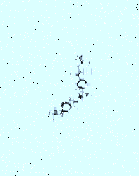 CN(C)C(=O)CNC(=O)c1cnc2c(c1)nc(Nc1nc3ccc(OC(F)(F)F)cc3s1)n2C